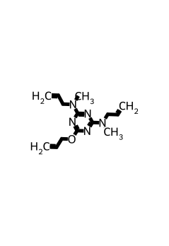 C=CCOc1nc(N(C)CC=C)nc(N(C)CC=C)n1